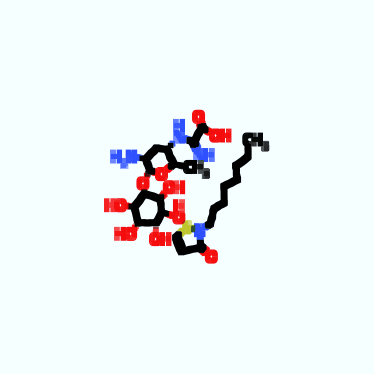 CCCCCCCCn1sccc1=O.C[C@H]1O[C@H](O[C@H]2[C@H](O)[C@@H](O)[C@@H](O)[C@H](O)[C@@H]2O)[C@@H](N)C[C@@H]1NC(=N)C(=O)O